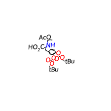 CC(=O)OC(C)CN[C@@H](Cc1ccc(OC(=O)OCC(C)(C)C)c(OC(=O)OCC(C)(C)C)c1)C(=O)O